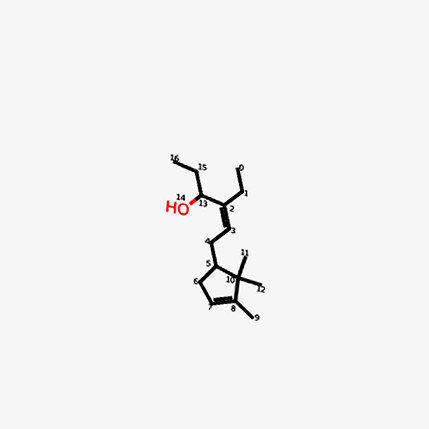 CCC(=CCC1CC=C(C)C1(C)C)C(O)CC